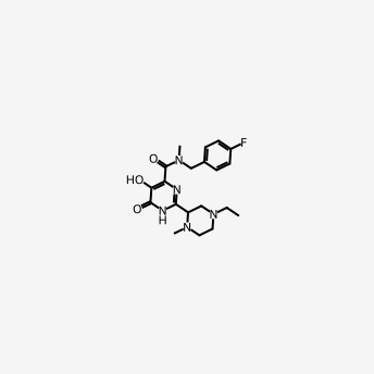 CCN1CCN(C)C(c2nc(C(=O)N(C)Cc3ccc(F)cc3)c(O)c(=O)[nH]2)C1